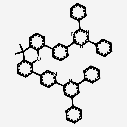 CC1(C)c2cccc(-c3ccc(-c4cc(-c5ccccc5)cc(-c5ccccc5)n4)nc3)c2Oc2c(-c3cccc(-c4nc(-c5ccccc5)nc(-c5ccccc5)n4)c3)cccc21